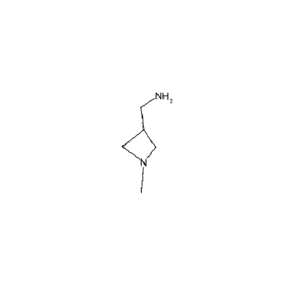 NCC1CN(I)C1